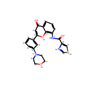 O=C(Nc1cccc2c(=O)cc(-c3cccc(N4CCOCC4)c3)oc12)c1cscn1